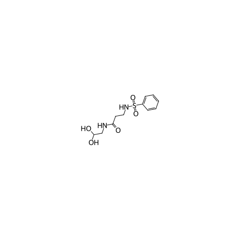 O=C(CCNS(=O)(=O)c1ccccc1)NCC(O)O